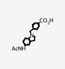 CC(=O)Nc1ccc2c(c1)CCN2Cc1ccc(C(=O)O)cc1